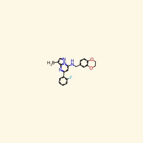 Bc1cnn2c(NCc3ccc4c(c3)OCCO4)cc(-c3ccccc3F)nc12